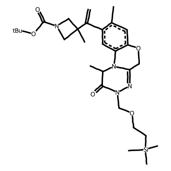 C=C(c1cc2c(cc1C)OCC1=NN(COCC[Si](C)(C)C)C(=O)C(C)N12)C1(C)CN(C(=O)OC(C)(C)C)C1